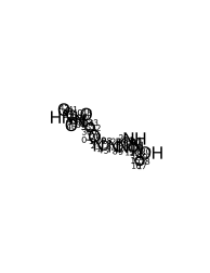 CC(CN1CCC(N2CCN3c4cc(-c5ccccc5O)nnc4NCC3C2)CC1)Oc1ccc2c(c1)CN(C1CCC(=O)NC1=O)C2=O